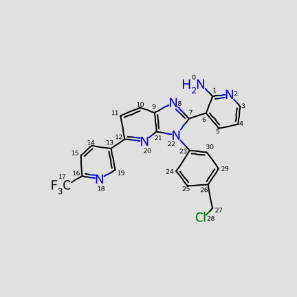 Nc1ncccc1-c1nc2ccc(-c3ccc(C(F)(F)F)nc3)nc2n1-c1ccc(CCl)cc1